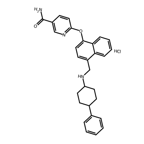 Cl.NC(=O)c1ccc(Oc2ccc(CNC3CCC(c4ccccc4)CC3)c3ccccc23)nc1